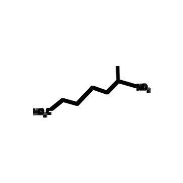 CC(CCCCC(=O)O)[N+](=O)[O-]